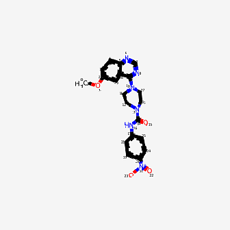 COc1ccc2ncnc(N3CCN(C(=O)Nc4ccc([N+](=O)[O-])cc4)CC3)c2c1